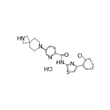 Cl.O=C(Nc1nc(-c2ccccc2Cl)cs1)c1ccc(N2CCC3(CC2)CNC3)cn1